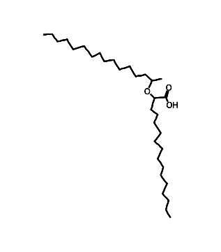 CCCCCCCCCCCCCCC(C)OC(CCCCCCCCCCCCCC)C(=O)O